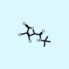 CC(C)(C)NC(=O)C1OC(=O)C(Cl)=C1Cl